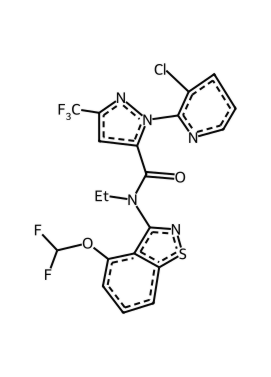 CCN(C(=O)c1cc(C(F)(F)F)nn1-c1ncccc1Cl)c1nsc2cccc(OC(F)F)c12